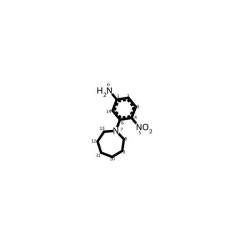 Nc1ccc([N+](=O)[O-])c(N2CCCCCC2)c1